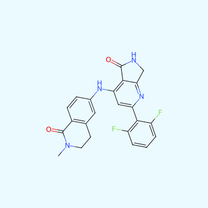 CN1CCc2cc(Nc3cc(-c4c(F)cccc4F)nc4c3C(=O)NC4)ccc2C1=O